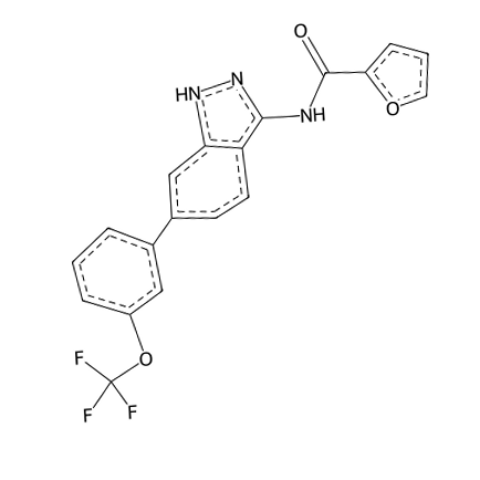 O=C(Nc1n[nH]c2cc(-c3cccc(OC(F)(F)F)c3)ccc12)c1ccco1